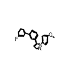 COc1ccc(-n2nccc2-c2cccc(-c3cccc(F)c3)c2)cc1